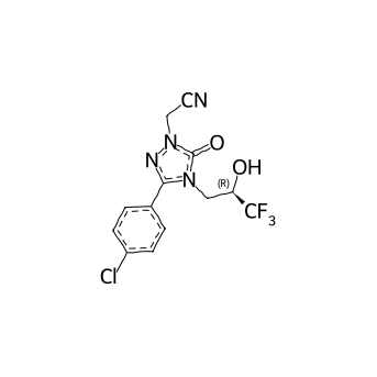 N#CCn1nc(-c2ccc(Cl)cc2)n(C[C@@H](O)C(F)(F)F)c1=O